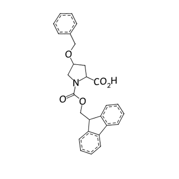 O=C(O)C1CC(OCc2ccccc2)CN1C(=O)OCC1c2ccccc2-c2ccccc21